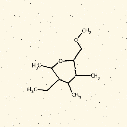 CCC1C(C)OC(COC)C(C)C1C